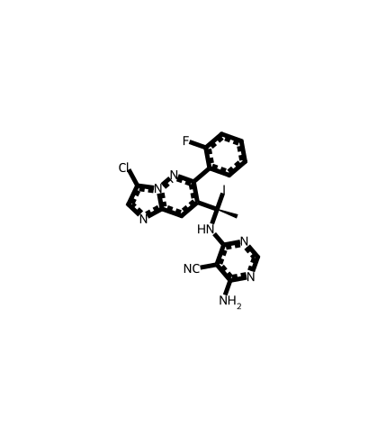 C[C@@](I)(Nc1ncnc(N)c1C#N)c1cc2ncc(Cl)n2nc1-c1ccccc1F